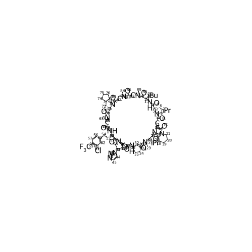 CC[C@H](C)[C@@H]1NC(=O)[C@H](CC(C)C)N(C)C(=O)C[C@@H](C(=O)N2CCCCC2)N(C)C(=O)[C@H](C(C)C)N(C)C(=O)C2(CCCC2)NC(=O)[C@@H]2C[C@H](n3ccnn3)CN2C(=O)[C@H](CCc2ccc(C(F)(F)F)c(Cl)c2)NC(=O)CN(C)C(=O)[C@H](CC2CCCC2)N(C)C(=O)CN(C)C(=O)CN(C)C1=O